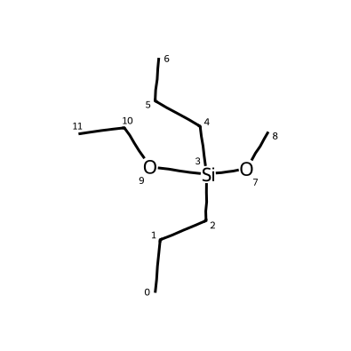 CCC[Si](CCC)(OC)OCC